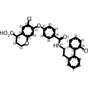 O=C(NCCc1ccccc1-c1ccccc1Cl)c1ccc(Oc2cc3c(cc2Cl)C(C(=O)O)CCO3)cc1